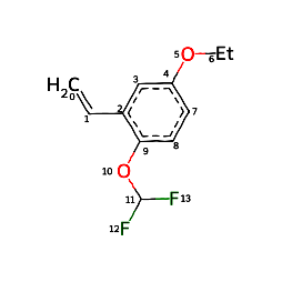 C=Cc1cc(OCC)ccc1OC(F)F